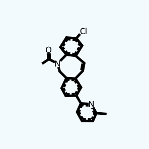 CC(=O)N1Cc2ccc(-c3cccc(C)n3)cc2C=Cc2cc(Cl)ccc21